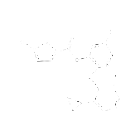 Cc1cccc(C2CC2)c1Oc1nnc(Cl)cc1OC(=O)c1ccc(Cl)s1